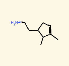 CC1=CCC(CCN)C1C